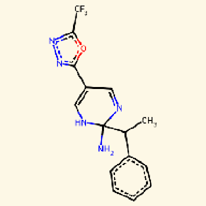 CC(c1ccccc1)C1(N)N=CC(c2nnc(C(F)(F)F)o2)=CN1